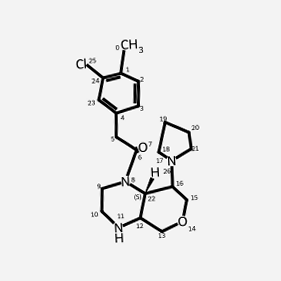 Cc1ccc(CC(=O)N2CCNC3COCC(N4CCCC4)[C@H]32)cc1Cl